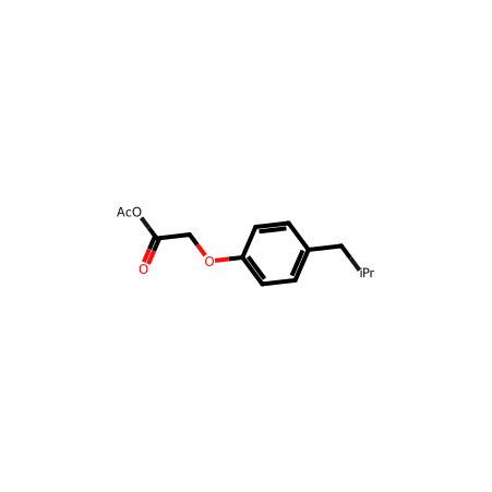 CC(=O)OC(=O)COc1ccc(CC(C)C)cc1